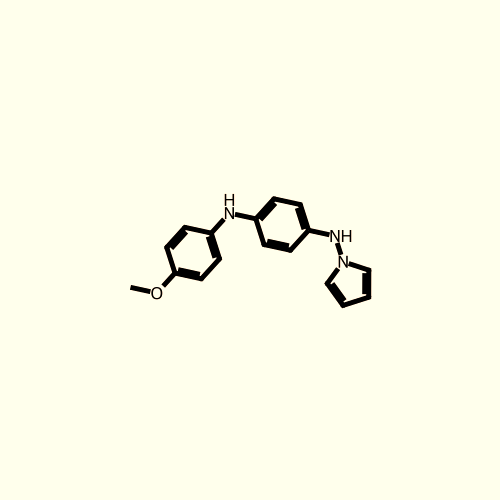 COc1ccc(Nc2ccc(Nn3cccc3)cc2)cc1